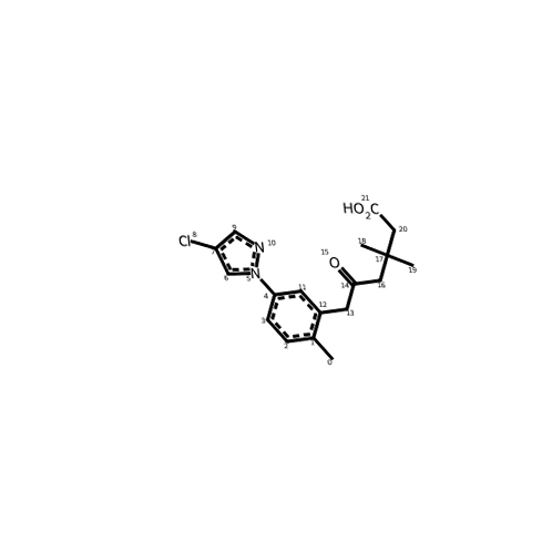 Cc1ccc(-n2cc(Cl)cn2)cc1CC(=O)CC(C)(C)CC(=O)O